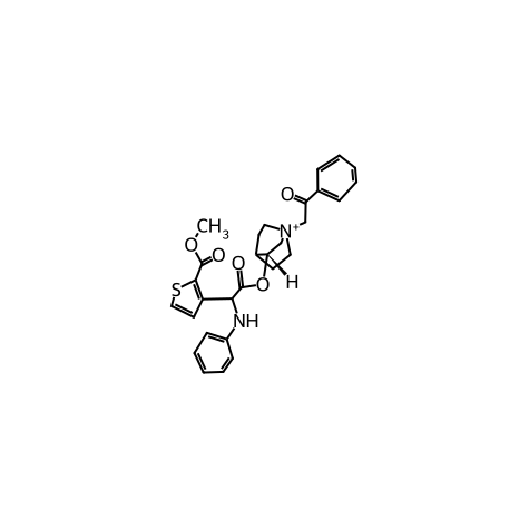 COC(=O)c1sccc1C(Nc1ccccc1)C(=O)O[C@H]1C[N+]2(CC(=O)c3ccccc3)CCC1CC2